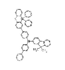 CC1(C)c2ccccc2-c2ccc(N(c3ccc(-c4ccccc4)cc3)c3ccc(-c4ccc5c(c4)[Si](c4ccccc4)(c4ccccc4)c4ccccc4S5)cc3)cc21